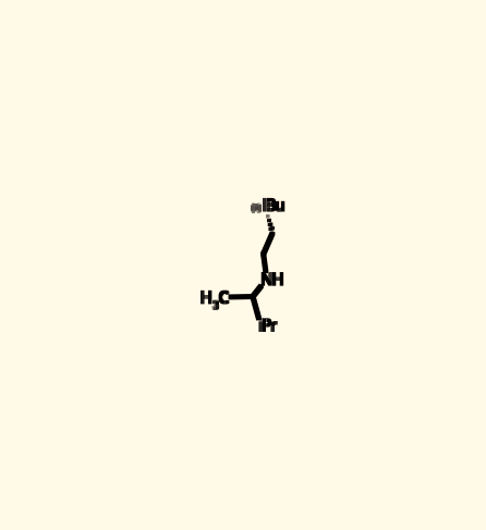 CC[C@@H](C)CCNC(C)C(C)C